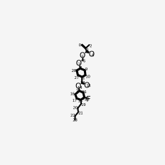 C=C(C)C(=O)OCOc1ccc(C(=O)Oc2ccc(CCCCC)c(F)c2)cc1